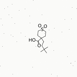 CC(C)(C)CCC1(C(=O)O)CCS(=O)(=O)CC1